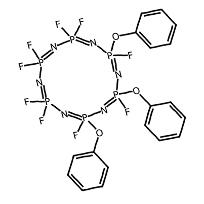 FP1(F)=NP(F)(F)=NP(F)(Oc2ccccc2)=NP(F)(Oc2ccccc2)=NP(F)(Oc2ccccc2)=NP(F)(F)=N1